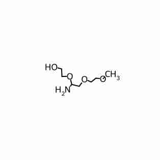 COCCOCC(N)OCCO